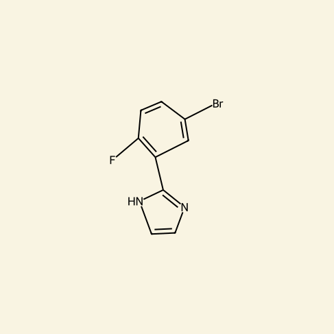 Fc1ccc(Br)cc1-c1ncc[nH]1